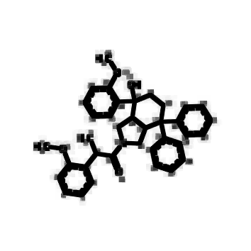 COc1ccccc1C(C)C(=O)N1CC2C(C1)C(c1ccccc1)(c1ccccc1)CCC2(O)c1ccccc1OC